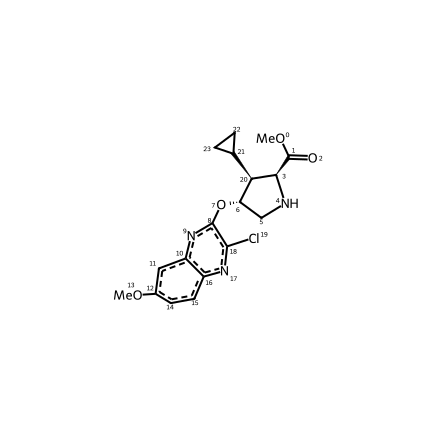 COC(=O)[C@H]1NC[C@H](Oc2nc3cc(OC)ccc3nc2Cl)[C@H]1C1CC1